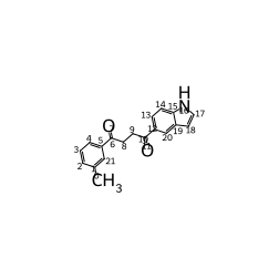 Cc1cccc(C(=O)CCC(=O)c2ccc3[nH]ccc3c2)c1